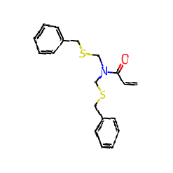 C=CC(=O)N(CSCc1ccccc1)CSCc1ccccc1